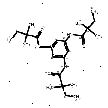 CCC(C)(C)C(=O)Nc1cc(NC(=O)C(C)(C)CC)cc(NC(=O)C(C)(C)CC)c1